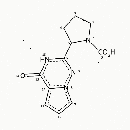 O=C(O)N1CCCC1c1nn2cccc2c(=O)[nH]1